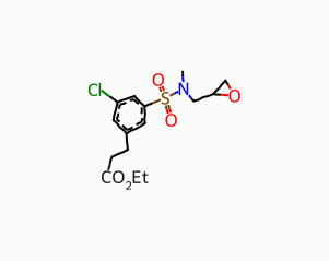 CCOC(=O)CCc1cc(Cl)cc(S(=O)(=O)N(C)CC2CO2)c1